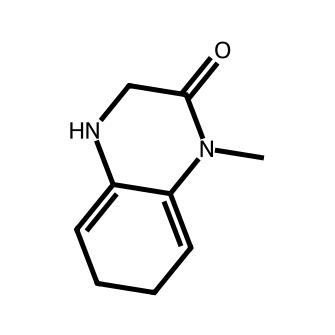 CN1C(=O)CNC2=CCCC=C21